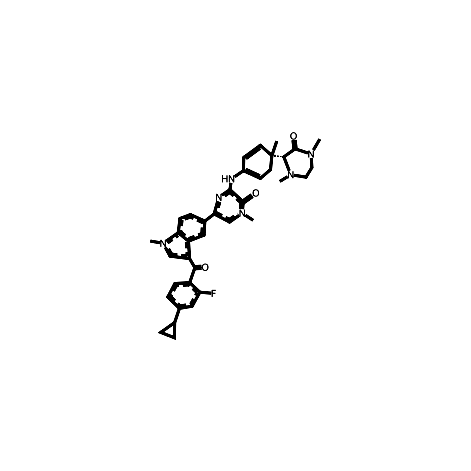 CN1CCN(C)[C@H](C2(C)C=CC(Nc3nc(-c4ccc5c(c4)c(C(=O)c4ccc(C6CC6)cc4F)cn5C)cn(C)c3=O)=CC2)C1=O